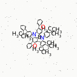 CC(C)(C)c1ccc(N2B3c4cc5oc6ccccc6c5cc4-n4c5cc6c(cc5c5c7c(oc8ccccc87)c(c3c54)-c3cc4c(cc32)C(C)(C)CCC4(C)C)C(C)(C)c2ccccc2-6)cc1